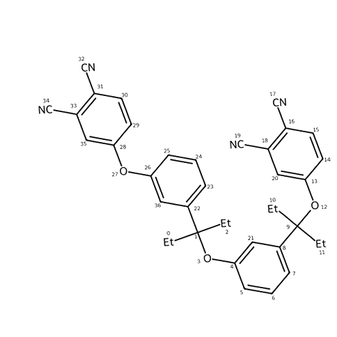 CCC(CC)(Oc1cccc(C(CC)(CC)Oc2ccc(C#N)c(C#N)c2)c1)c1cccc(Oc2ccc(C#N)c(C#N)c2)c1